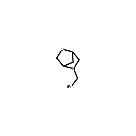 CC(C)CN1CC2CC1CO2